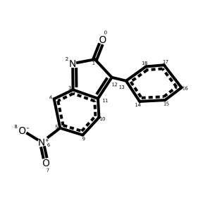 O=C1N=c2cc([N+](=O)[O-])ccc2=C1c1ccccc1